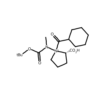 CN(C(=O)OC(C)(C)C)[N+]1(C(=O)C2CCCCC2)CCC[C@H]1C(=O)O